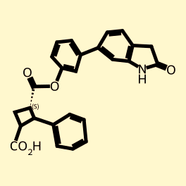 O=C1Cc2ccc(-c3cccc(OC(=O)[C@H]4CC(C(=O)O)C4c4ccccc4)c3)cc2N1